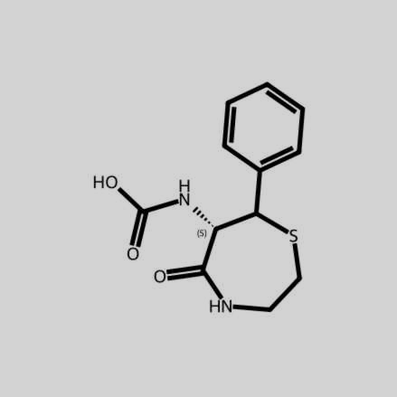 O=C(O)N[C@H]1C(=O)NCCSC1c1ccccc1